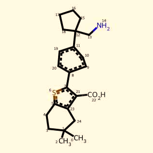 CC1(C)CCc2sc(-c3ccc(C4(CN)CCCC4)cc3)c(C(=O)O)c2C1